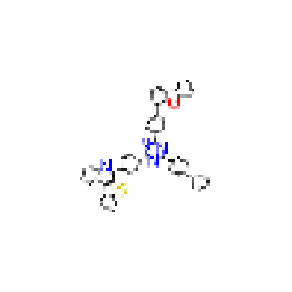 c1ccc(-c2ccc(-c3nc(-c4ccc(-c5cccc6c5oc5ccccc56)cc4)nc(-c4ccc(-c5nc6ccccc6c6c5sc5ccccc56)cc4)n3)cc2)cc1